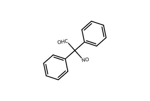 O=CC(N=O)(c1ccccc1)c1ccccc1